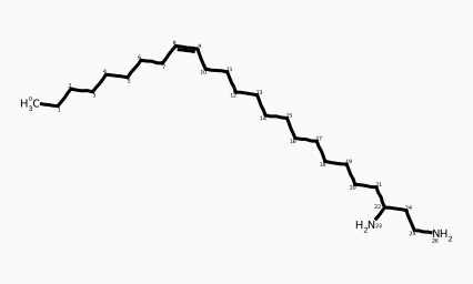 CCCCCCCC/C=C\CCCCCCCCCCCCC(N)CCN